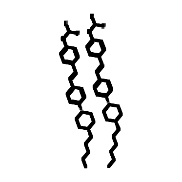 CCCCCC[C@H]1CC[C@H](c2ccc(C=Cc3ccc(OC(F)F)cc3)cc2)CC1.CCCCC[C@H]1CC[C@H](c2ccc(C=Cc3ccc(OC(F)F)cc3)cc2)CC1